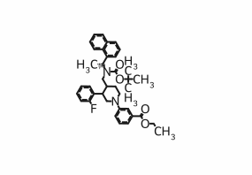 CCOC(=O)c1cccc(N2CCC(CN(C(=O)OC(C)(C)C)[C@H](C)c3cccc4ccccc34)C(c3ccccc3F)C2)c1